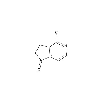 O=C1CCc2c1ccnc2Cl